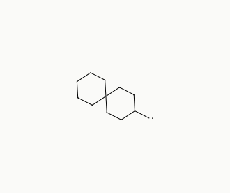 [CH2]C1CCC2(CCCCC2)CC1